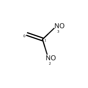 C=C(N=O)N=O